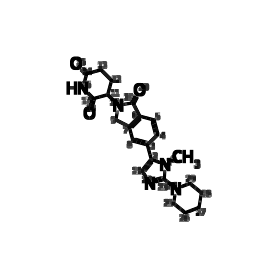 Cn1c(-c2ccc3c(c2)CN(C2CCC(=O)NC2=O)C3=O)cnc1N1CCCCC1